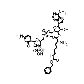 C[C@@H](O[C@H](COP(=O)(O)O)COP(=O)(O)OC[C@H]1O[C@@H](n2cnc3c(N)ncnc32)[C@H](O)[C@@H]1OC(=O)[C@@H](N)CCCCNC(=O)OCc1ccccc1)n1ccc(N)nc1=O